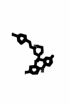 Cc1ccc2c(c1)C(N1CCNC(CCc3ccc(F)cc3)C1)=Nc1cc(F)ccc1N2